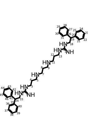 N=C(NCCCNCCCNCCCNC(=N)NCC(c1ccccc1)c1ccccc1)NCC(c1ccccc1)c1ccccc1